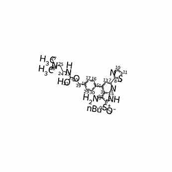 CCCC[S+]([O-])c1[nH]c2nc(-c3nccs3)cc(-c3ccc(COC(O)NCCN(C)C)cc3)c2c1N